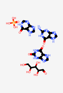 Nc1nc2nc[nH]c2c(=O)[nH]1.O=CC(O)C(O)C(O)CO.O=P(O)(O)O.O=c1[nH]c(=O)c2[nH]cnc2[nH]1.O=c1[nH]cnc2nc[nH]c12